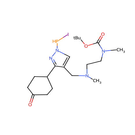 CN(CCN(C)C(=O)OC(C)(C)C)Cc1cn(PI)nc1C1CCC(=O)CC1